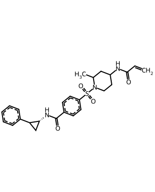 C=CC(=O)NC1CCN(S(=O)(=O)c2ccc(C(=O)N[C@@H]3CC3c3ccccc3)cc2)C(C)C1